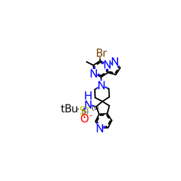 Cc1nc(N2CCC3(CC2)Cc2ccncc2[C@H]3N[S@+]([O-])C(C)(C)C)c2ccnn2c1Br